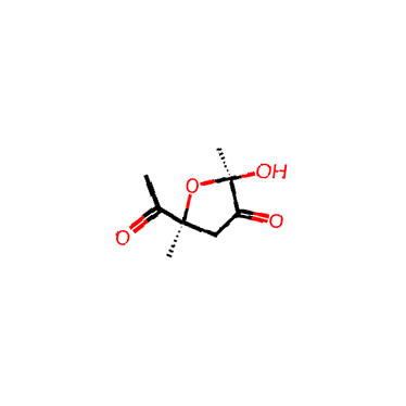 CC(=O)[C@]1(C)CC(=O)[C@](C)(O)O1